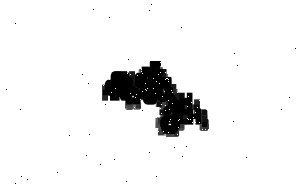 CN(C(=O)C1CCC(NS(C)(=O)=O)C1)[C@@H](c1ccc(N[C@H]2Cc3ccccc3C2(C)C)cn1)C(F)(F)F